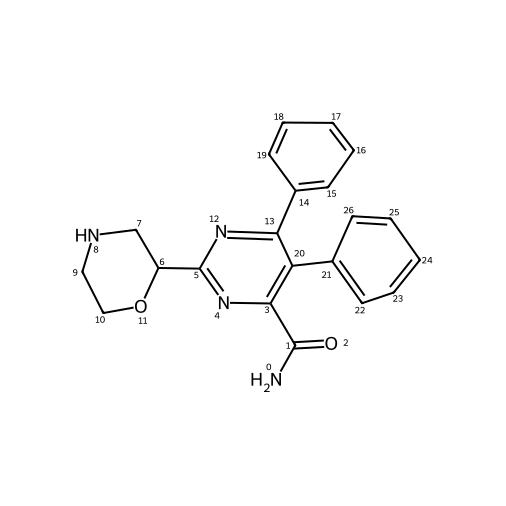 NC(=O)c1nc(C2CNCCO2)nc(-c2ccccc2)c1-c1ccccc1